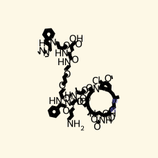 CNN(C)Cc1cc2ccccc2n1CCC(=O)N[C@@H](CCC(=O)O)C(=O)NCCOCCOCCC(=O)N[C@H](C(=O)N[C@@H](CCCCN)C(=O)N(C)[C@@H](C)C(=O)O[C@H]1CC(=O)N(C)c2cc(cc(OC)c2Cl)C/C(C)=C/C=C/[C@@H](OC)[C@@]2(O)C[C@H](OC(=O)N2)[C@@H](C)CC1(C)O)c1ccccc1